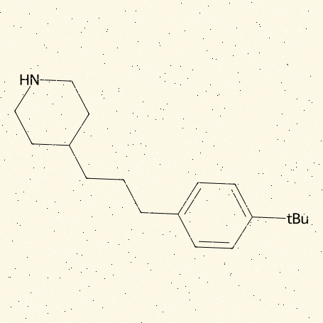 CC(C)(C)c1ccc(CCCC2CCNCC2)cc1